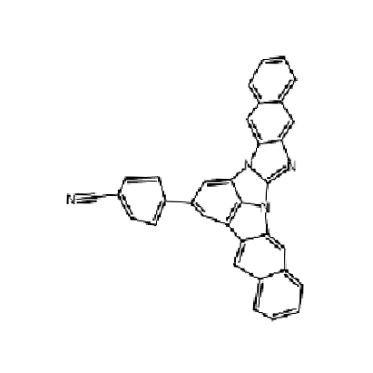 N#Cc1ccc(-c2cc3c4cc5ccccc5cc4n4c3c(c2)n2c3cc5ccccc5cc3nc24)cc1